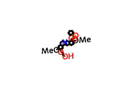 COc1cc2c(cc1OCCO)C1Cc3ccc(OC)c(OS(=O)(=O)c4ccccc4)c3CN1CC2